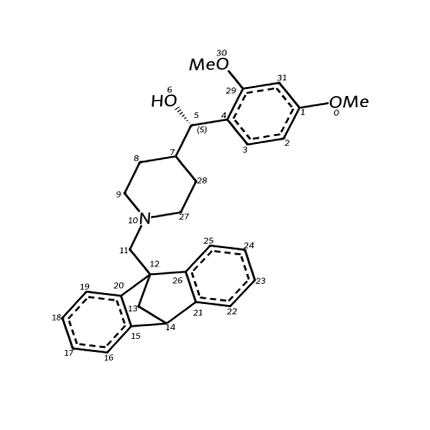 COc1ccc([C@@H](O)C2CCN(CC34CC(c5ccccc53)c3ccccc34)CC2)c(OC)c1